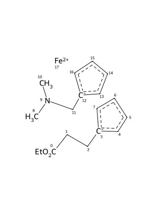 CCOC(=O)CC[c-]1cccc1.CN(C)C[c-]1cccc1.[Fe+2]